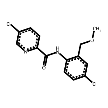 COCc1cc(Cl)ccc1NC(=O)c1ccc(Cl)cn1